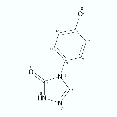 [O]c1ccc(-n2cn[nH]c2=O)cc1